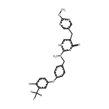 COc1ncc(Cc2c[nH]c(N(C)Cc3ccc(Oc4ccc(Cl)c(C(F)(F)F)c4)cc3)nc2=O)cn1